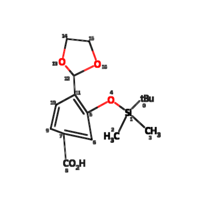 CC(C)(C)[Si](C)(C)Oc1cc(C(=O)O)ccc1C1OCCO1